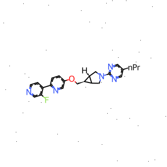 CCCc1cnc(N2CC3[C@@H](COc4ccc(-c5ccncc5F)nc4)[C@@H]3C2)nc1